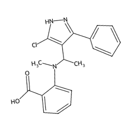 CC(c1c(-c2ccccc2)n[nH]c1Cl)N(C)c1ccccc1C(=O)O